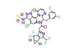 Cn1nc(NS(C)(=O)=O)c2c(Cl)ccc(-n3c(C(Cc4cc(F)cc(F)c4)NC(=O)Cn4nc(C(F)F)c5c4C(F)(F)[C@@H]4C[C@H]54)nccc3=O)c21